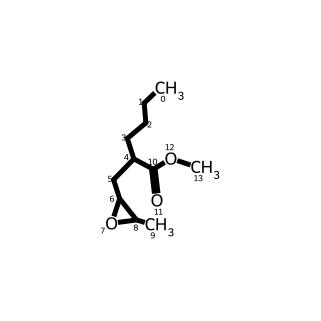 CCCCC(CC1OC1C)C(=O)OC